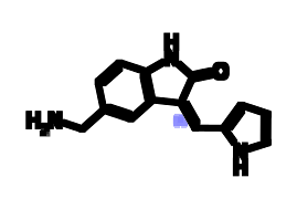 NCc1ccc2c(c1)/C(=C/c1ccc[nH]1)C(=O)N2